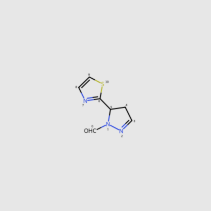 O=CN1N=CCC1c1nccs1